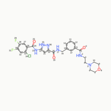 O=C(NCCN1CCOCC1)c1cccc(CNC(=O)c2cc(NC(=O)c3cc(F)c(F)cc3Cl)[nH]n2)c1